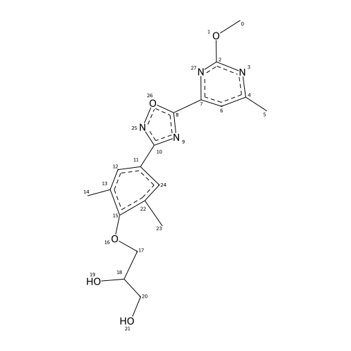 COc1nc(C)cc(-c2nc(-c3cc(C)c(OCC(O)CO)c(C)c3)no2)n1